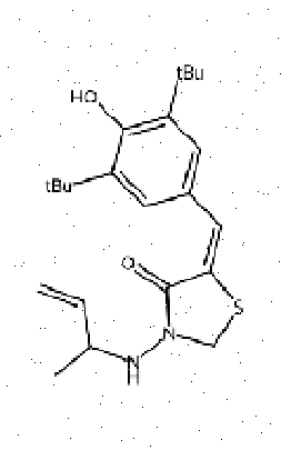 C=CC(C)NN1CSC(=Cc2cc(C(C)(C)C)c(O)c(C(C)(C)C)c2)C1=O